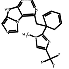 Cn1cc(C(F)(F)F)nc1C1(Cc2ncnc3[nH]c4cncn4c23)C=CC=CC1